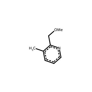 COCc1ncccc1C